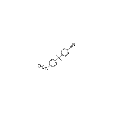 CC(C)(c1ccc(C#N)cc1)c1ccc(N=C=O)cc1